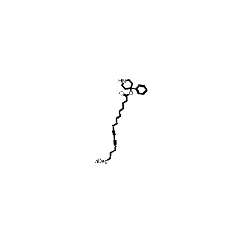 CCCCCCCCCCCCCC#CC#CCCCCCCCCC(=O)OC1(c2ccccc2)CCNCC1